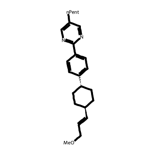 CCCCCc1cnc(-c2ccc([C@H]3CC[C@H](C=CCOC)CC3)cc2)nc1